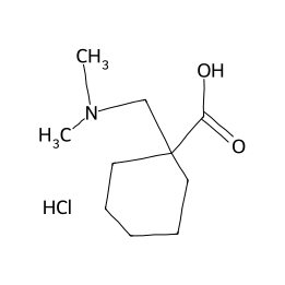 CN(C)CC1(C(=O)O)CCCCC1.Cl